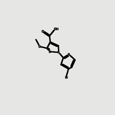 COc1nn(-c2cc(Br)ccn2)cc1C(=O)O